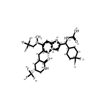 CN(CC(F)(F)F)c1cc2nc(C(NC(=O)O)C3CCC(F)(F)CC3)cn2nc1CC1C[C@@H](C(F)(F)F)CNC1=O